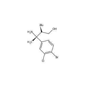 CC[C@H](C)C(CO)[C@@](C)(N)c1ccc(Br)c(Cl)c1